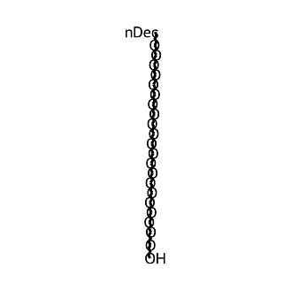 CCCCCCCCCCCCCOCCOCCOCCOCCOCCOCCOCCOCCOCCOCCOCCOCCOCCOCCOCCOCCOCCOCCOCCOCCCOCCCO